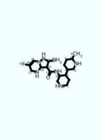 CC1CCC(C2CCNCC2NC(=O)C2C(N)NN3C=C(F)CNC23)CN1